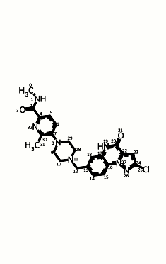 CNC(=O)c1ccc(N2CCN(Cc3ccc4c(c3)[nH]c(=O)c3cc(Cl)nn34)CC2)c(C)n1